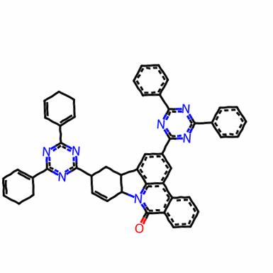 O=c1c2ccccc2c2cc(-c3nc(-c4ccccc4)nc(-c4ccccc4)n3)cc3c2n1C1C=CC(c2nc(C4=CCCC=C4)nc(C4=CC=CCC4)n2)CC31